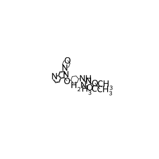 CC(C)(C)OC(=O)/N=C(\N)N[C@H]1CC[C@@H](Oc2nc(N3CCOCC3)cc3ncccc23)CC1